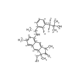 CCOC1(C)C(=O)N(C)c2cc3c(N[C@H](C)c4cccc(C(F)(F)C(C)(C)O)c4F)nc(C)nc3cc21